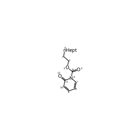 CCCCCCCCCOC(=O)n1ccccc1=O